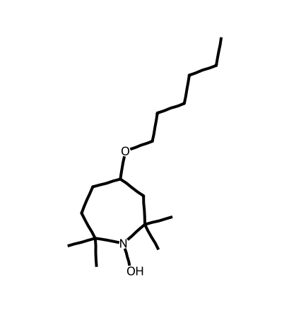 CCCCCCOC1CCC(C)(C)N(O)C(C)(C)C1